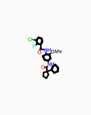 COc1cc(NC(=O)C2(c3ccccc3)CCCC2)ccc1NC(=O)c1cccc(Cl)c1F